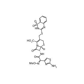 CO/N=C(\C(=O)N[C@@H]1C(=O)N2C(C(=O)O)=C(CSC3=Nc4ccccc4S(=O)(=O)N3)CS[C@H]12)c1csc(N)n1